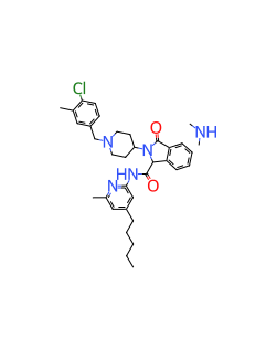 CCCCCc1cc(C)nc(NC(=O)C2c3ccccc3C(=O)N2C2CCN(Cc3ccc(Cl)c(C)c3)CC2)c1.CNC